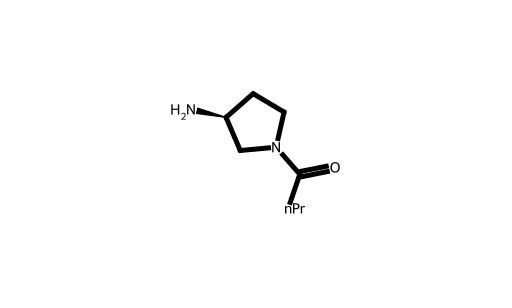 CCCC(=O)N1CC[C@H](N)C1